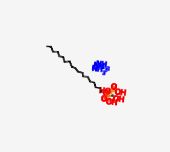 CCCCCCCCCCCCCCCCCCCOP(=O)(O)C(O)P(=O)(O)O.N.N.N